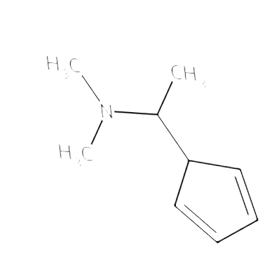 CC(C1C=CC=C1)N(C)C